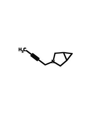 CC#CCN1CC2CC2C1